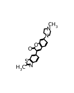 Cc1nc2ccc(-c3cc4ccc(N5CCN(C)CC5)cc4oc3=O)cc2s1